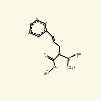 CCCC[C@@H](C(=O)O)C(C/C=C/c1ccccc1)C(=O)OC(C)(C)C